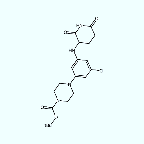 CC(C)(C)OC(=O)N1CCN(c2cc(Cl)cc(NC3CCC(=O)NC3=O)c2)CC1